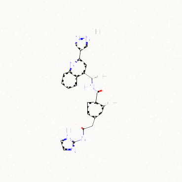 Cc1cc(CC(=O)Nc2ncc[nH]2)ccc1C(=O)N[C@H](C)c1cc(-c2cnn(C)c2)nc2ccccc12